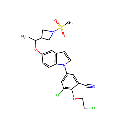 CC(Oc1ccc2c(ccn2-c2cc(Cl)c(OCCCl)c(C#N)c2)c1)C1CN(S(C)(=O)=O)C1